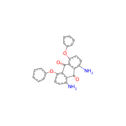 Nc1ccc(Oc2ccccc2)c2c1C(=O)c1c(N)ccc(Oc3ccccc3)c1C2=O